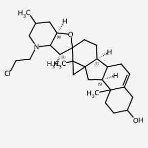 CC1C[C@H]2OC3(CC[C@H]4C5CC=C6CC(O)CCC6(C)[C@H]5CC45CC53C)[C@H](C)C2N(CCCl)C1